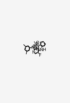 Cc1cc(C)cc(Nc2ncc(F)c(Nc3ccccc3NS(C)(=O)=O)n2)c1